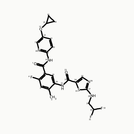 Cc1cc(F)c(C(=O)Nc2ccc(OC3CC3)cn2)cc1NC(=O)c1cnc(NCC(F)F)s1